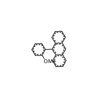 COc1ccccc1-c1c2ccccc2cc2ccccc12